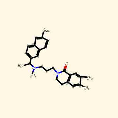 COc1ccc2cc(C(C)N(C)CCCN3CCc4cc(C)c(C)cc4C3=O)ccc2c1